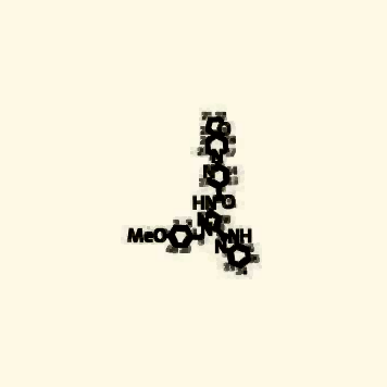 COc1ccc(Cn2nc(NC(=O)c3ccc(N4CCC5(CCCO5)CC4)nc3)cc2-c2nc3ccccc3[nH]2)cc1